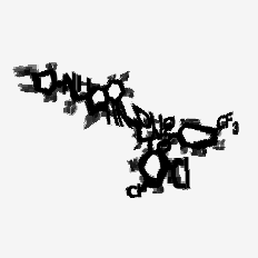 O=C(CC(NS(=O)(=O)c1cccc(C(F)(F)F)c1)c1cc(Cl)cc(Cl)c1)NC1CCCc2cc(CNC3CCCC3)ccc21